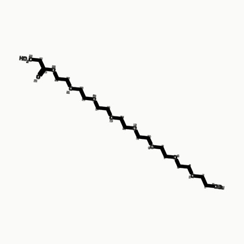 CC(C)COCCOCCOCCOCCOCCOCCOCCOCCOC(=O)CC(=O)O